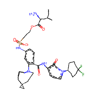 CC(C)[C@H](N)C(=O)OCCS(=O)(=O)Nc1ccc(C(=O)Nc2cccn([C@H]3CCC(F)(F)C3)c2=O)c(N2CCC3(CC2)CC3)c1